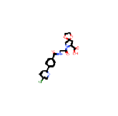 O=C(NCC(=O)N1CC2(CC1C(=O)O)OCCO2)c1ccc(-c2ccc(Cl)cn2)cc1